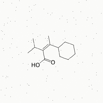 CC(=C(C(=O)O)C(C)C)C1CCCCC1